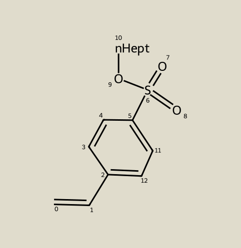 C=Cc1ccc(S(=O)(=O)OCCCCCCC)cc1